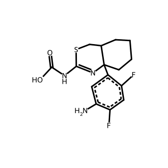 Nc1cc(C23CCCCC2CSC(NC(=O)O)=N3)c(F)cc1F